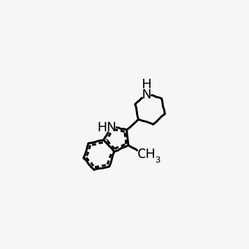 Cc1c(C2CCCNC2)[nH]c2ccccc12